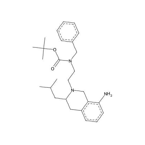 CC(C)CC1Cc2cccc(N)c2CN1CCN(Cc1ccccc1)C(=O)OC(C)(C)C